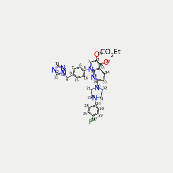 CCOC(=O)Oc1cn(-c2ccc(Cn3cncn3)cc2)c2nc(N3CCN(c4ccc(F)cc4)CC3)ccc2c1=O